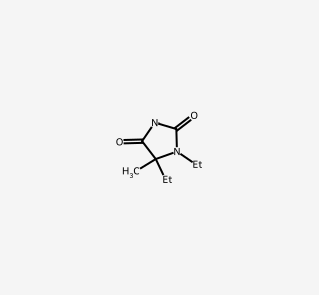 CCN1C(=O)[N]C(=O)C1(C)CC